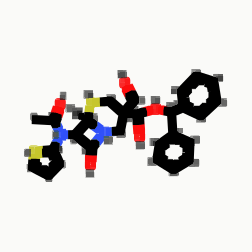 CC(=O)N(c1cccs1)C1C(=O)N2CC(C=O)(C(=O)OC(c3ccccc3)c3ccccc3)CS[C@H]12